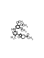 COc1cc(Nc2ncc(C)c(-c3cc4c(o3)CCN(C(C)=O)C4)n2)cc(OC)c1OC